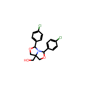 OCC12COC(c3ccc(Cl)cc3)N1C(c1ccc(Cl)cc1)OC2